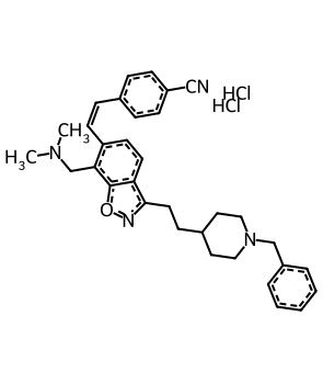 CN(C)Cc1c(/C=C\c2ccc(C#N)cc2)ccc2c(CCC3CCN(Cc4ccccc4)CC3)noc12.Cl.Cl